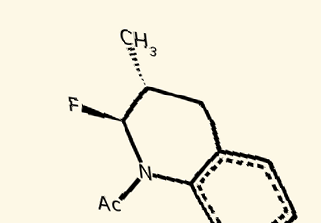 CC(=O)N1c2ccccc2C[C@@H](C)[C@@H]1F